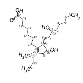 CCCCC[C@H](O)C=C[C@@H]1C(CCCCCCC(=O)O)=C(C(C)CC)C[C@H]1O